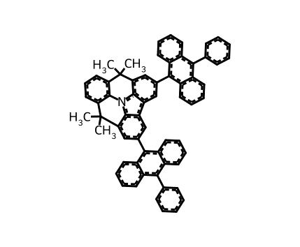 CC1(C)c2cccc3c2-n2c4c1cc(-c1c5ccccc5c(-c5ccccc5)c5ccccc15)cc4c1cc(-c4c5ccccc5c(-c5ccccc5)c5ccccc45)cc(c12)C3(C)C